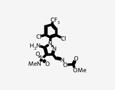 CNS(=O)(=O)c1c(C=NOC(=O)OC)nn(-c2c(Cl)cc(C(F)(F)F)cc2Cl)c1N